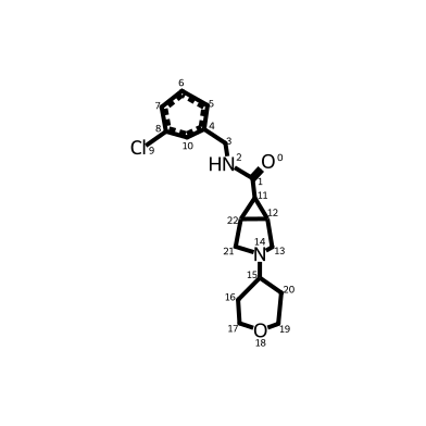 O=C(NCc1cccc(Cl)c1)C1C2CN(C3CCOCC3)CC21